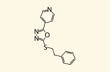 c1ccc(CCSc2nnc(-c3ccncc3)o2)cc1